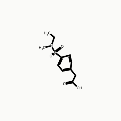 CCN(C)S(=O)(=O)c1ccc(CC(=O)O)cc1